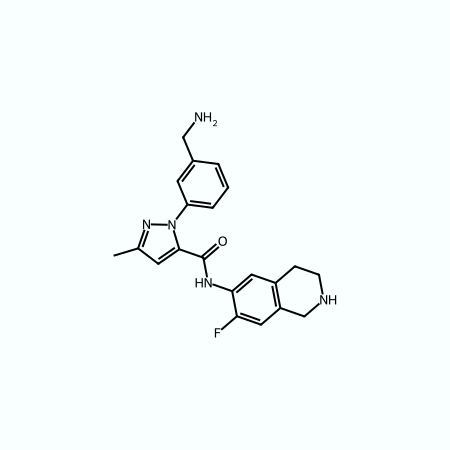 Cc1cc(C(=O)Nc2cc3c(cc2F)CNCC3)n(-c2cccc(CN)c2)n1